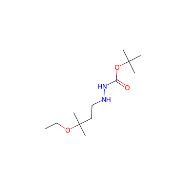 CCOC(C)(C)CCNNC(=O)OC(C)(C)C